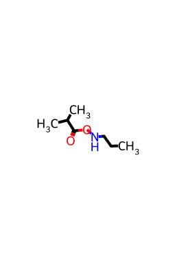 CCCNOC(=O)C(C)C